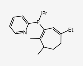 CCC1=CC(P(c2ccccn2)C(C)C)=C(C)C(C)CC1